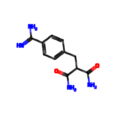 N=C(N)c1ccc(CC(C(N)=O)C(N)=O)cc1